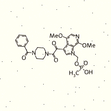 COc1cnc(OC)c2c1c(C(=O)C(=O)N1CCN(C(=O)c3ccccc3)CC1)cn2COP(C)(=O)O